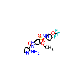 CCOc1cc(NC(=O)c2cccnc2N)ccc1S(=O)(=O)Nc1cccc(OC(F)(F)F)c1